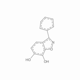 Oc1ccc2c(-c3ccccc3)noc2c1O